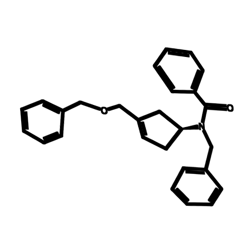 O=C(c1ccccc1)N(Cc1ccccc1)[C@H]1CC=C(COCc2ccccc2)C1